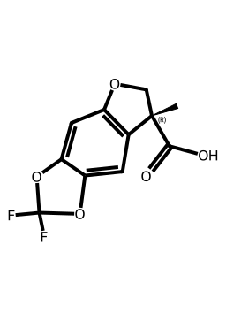 C[C@]1(C(=O)O)COc2cc3c(cc21)OC(F)(F)O3